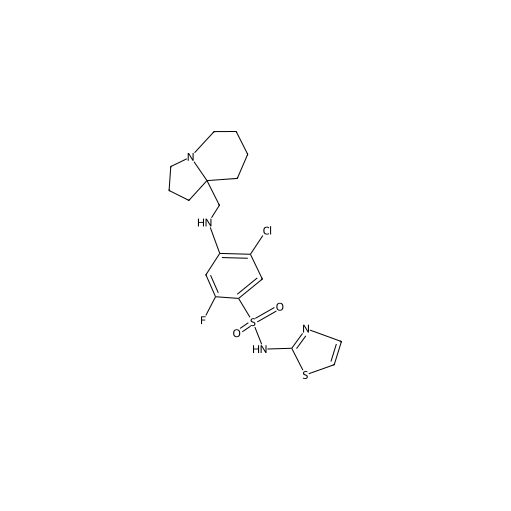 O=S(=O)(Nc1nccs1)c1cc(Cl)c(NCC23CCCCN2CCC3)cc1F